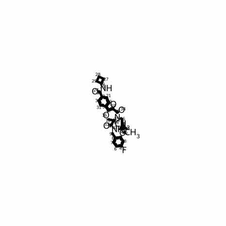 COc1cc(F)ccc1CNC(=O)C1(C)COc2c(oc3cc(C(=O)NC4CCC4)ccc23)C(=O)N1CC1CC1